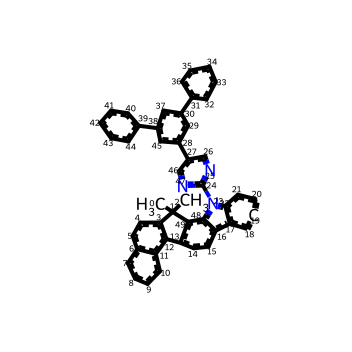 CC1(C)c2ccc3ccccc3c2-c2ccc3c4ccccc4n(-c4ncc(-c5cc(-c6ccccc6)cc(-c6ccccc6)c5)cn4)c3c21